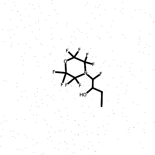 CCC(O)C(F)N1C(F)(F)C(F)(F)OC(F)(F)C1(F)F